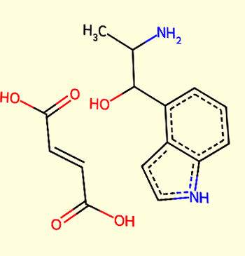 CC(N)C(O)c1cccc2[nH]ccc12.O=C(O)C=CC(=O)O